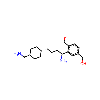 NC[C@H]1CC[C@H](CCCC(N)c2cc(CO)ccc2CO)CC1